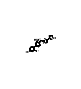 CCc1cc(O)ccc1-c1ccc2c(-c3nc(C4=CCNC4)c[nH]3)n[nH]c2c1